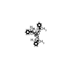 CC(C)(SCOP(=O)(SCSC(C)(C)c1ccccc1)SCSC(C)(C)c1ccccc1)c1ccccc1